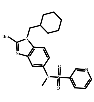 CN(c1ccc2c(c1)nc(C(C)(C)C)n2CC1CCCCC1)S(=O)(=O)c1cccnc1